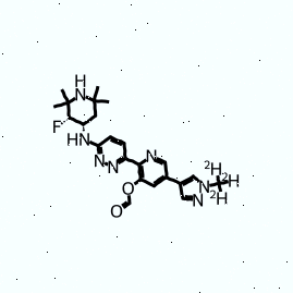 [2H]C([2H])([2H])n1cc(-c2cnc(-c3ccc(N[C@H]4CC(C)(C)NC(C)(C)[C@H]4F)nn3)c(OC=O)c2)cn1